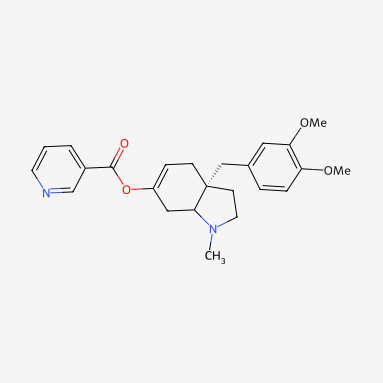 COc1ccc(C[C@@]23CC=C(OC(=O)c4cccnc4)CC2N(C)CC3)cc1OC